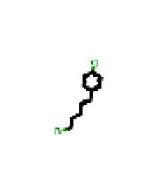 Clc1ccc(/C=C/CCCBr)cc1